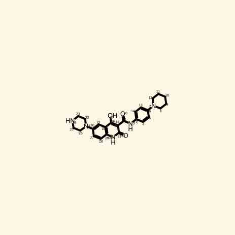 O=C(Nc1ccc(N2CCCCC2)cc1)c1c(O)c2cc(N3CCNCC3)ccc2[nH]c1=O